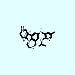 Cc1cnc(OC(C)C)c(Nc2cc3c4c(c2)[C@@H]2CNCC[C@@H]2N4CCOC3)c1